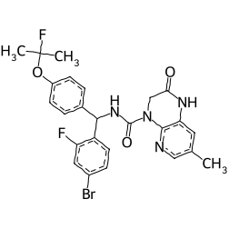 Cc1cnc2c(c1)NC(=O)CN2C(=O)NC(c1ccc(OC(C)(C)F)cc1)c1ccc(Br)cc1F